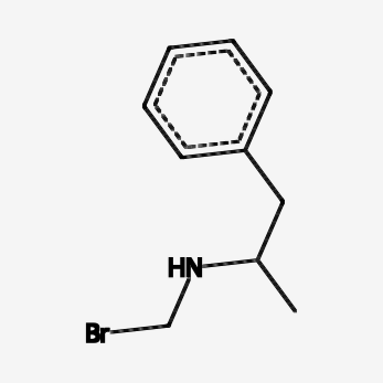 CC(Cc1ccccc1)NCBr